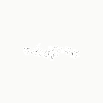 COc1cc(-c2ccc3c(c2)Nc2ccc(CCn4cnc(-c5ccccc5)c4)cc2NC3=O)ccc1OCc1cscn1